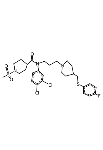 CS(=O)(=O)N1CCC(C(=O)N(CCCN2CCC(CSc3ccc(F)cc3)CC2)c2ccc(Cl)c(Cl)c2)CC1